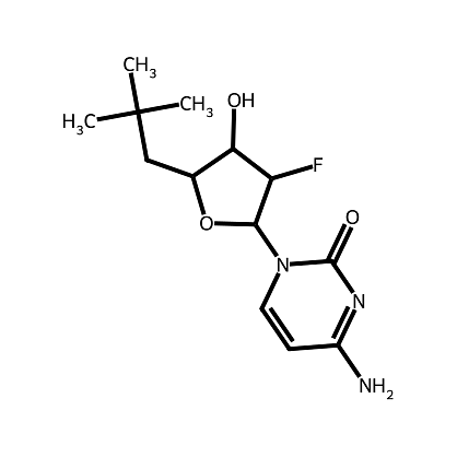 CC(C)(C)CC1OC(n2ccc(N)nc2=O)C(F)C1O